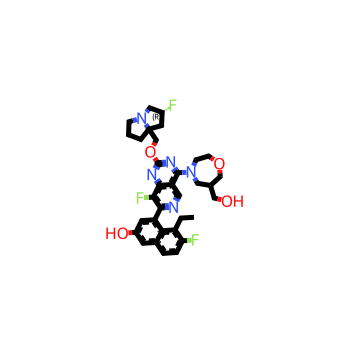 CCc1c(F)ccc2cc(O)cc(-c3ncc4c(N5CCOCC(CO)C5)nc(OCC56CCCN5C[C@H](F)C6)nc4c3F)c12